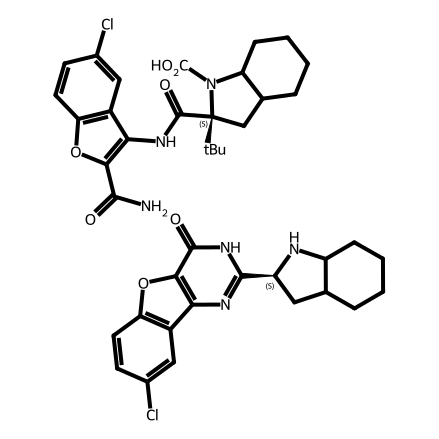 CC(C)(C)[C@]1(C(=O)Nc2c(C(N)=O)oc3ccc(Cl)cc23)CC2CCCCC2N1C(=O)O.O=c1[nH]c([C@@H]2CC3CCCCC3N2)nc2c1oc1ccc(Cl)cc12